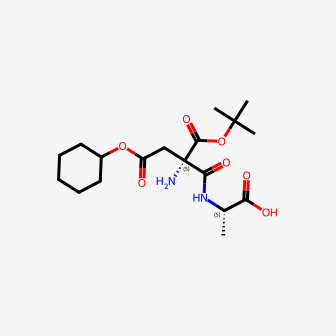 C[C@H](NC(=O)[C@@](N)(CC(=O)OC1CCCCC1)C(=O)OC(C)(C)C)C(=O)O